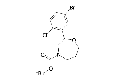 CC(C)(C)OC(=O)N1CCCOC(c2cc(Br)ccc2Cl)C1